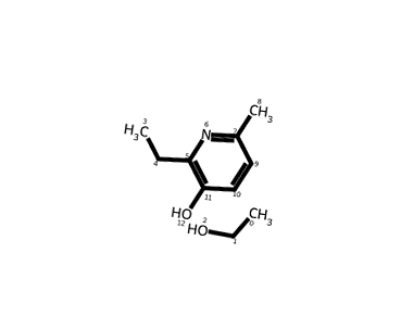 CCO.CCc1nc(C)ccc1O